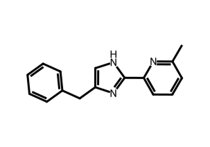 Cc1cccc(-c2nc(Cc3ccccc3)c[nH]2)n1